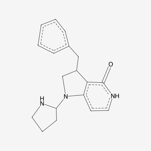 O=c1[nH]ccc2c1C(Cc1ccccc1)CN2C1CCCN1